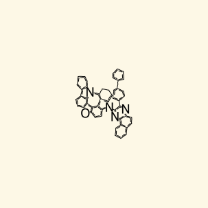 C1=c2c3c(n4c5ccccc5c5ccc6oc7ccc(c3c7c6c54)n2-c2nc3c(ccc4ccccc43)nc2-c2ccc(-c3ccccc3)cc2)CC1